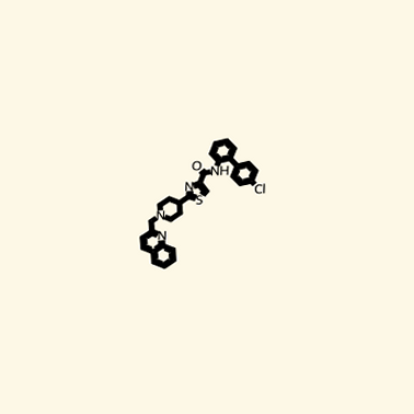 O=C(Nc1ccccc1-c1ccc(Cl)cc1)c1csc(C2CCN(Cc3ccc4ccccc4n3)CC2)n1